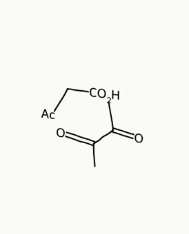 CC(=O)C(C)=O.CC(=O)CC(=O)O